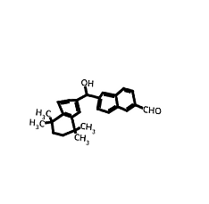 CC1(C)CCC(C)(C)c2cc(C(O)c3ccc4cc(C=O)ccc4c3)ccc21